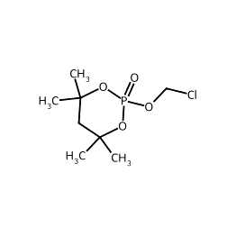 CC1(C)CC(C)(C)OP(=O)(OCCl)O1